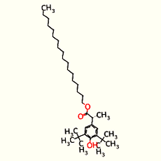 CCCCCCCCCCCCCCCCCCOC(=O)[C@H](C)c1cc(C(C)(C)C)c(O)c(C(C)(C)C)c1